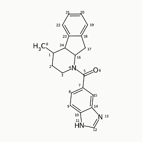 CC1CCN(C(=O)c2ccc3[nH]cnc3c2)C2Cc3ccccc3C12